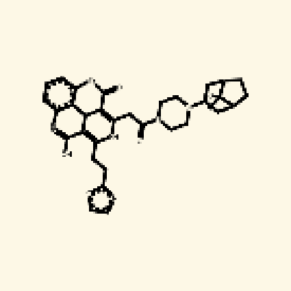 CC1(O)C2CCC1CC(N1CCN(C(=O)CC3=C(C(=O)O)C(c4c(Cl)cccc4Cl)C(C(=O)O)=C(CCc4nccs4)N3)CC1)C2